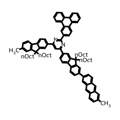 CCCCCCCCC1(CCCCCCCC)c2cc(C)ccc2-c2ccc(-c3cc(-c4ccc5c(c4)C(CCCCCCCC)(CCCCCCCC)c4cc(-c6ccc7cc8cc(C)ccc8cc7c6)ccc4-5)nc(-c4ccc5c6ccccc6c6ccccc6c5c4)n3)cc21